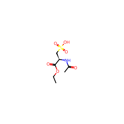 CCOC(=O)[C@@H](CS(=O)(=O)O)NC(C)=O